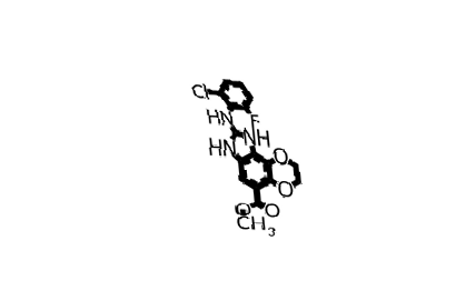 COC(=O)c1cc2c(c3c1OCCO3)NC(Nc1c(F)cccc1Cl)N2